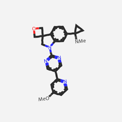 CNC1(c2ccc3c(c2)N(c2ncc(-c4cc(OC)ccn4)cn2)CC32COC2)CC1